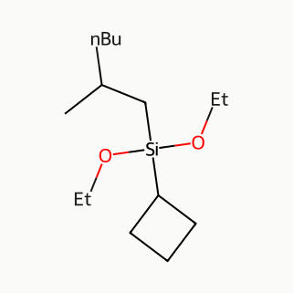 CCCCC(C)C[Si](OCC)(OCC)C1CCC1